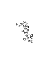 CC1CCCN(C(=O)c2cccc(COc3c(Cl)cc(Cl)cc3Cl)n2)C1